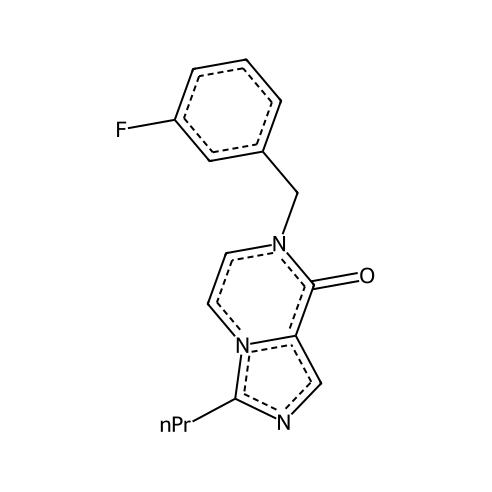 CCCc1ncc2c(=O)n(Cc3cccc(F)c3)ccn12